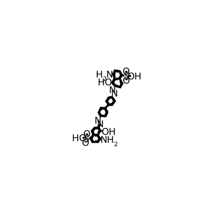 Nc1ccc(S(=O)(=O)O)c2ccc(/N=N/c3ccc(-c4ccc(/N=N/c5ccc6c(S(=O)(=O)O)ccc(N)c6c5O)cc4)cc3)c(O)c12